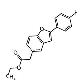 CCOC(=O)Cc1ccc2oc(-c3ccc(F)cc3)cc2c1